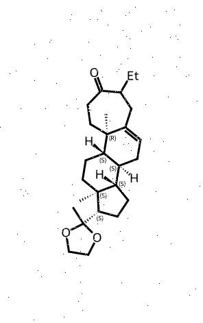 CCC1CC2=CC[C@H]3[C@@H]4CC[C@H](C5(C)OCCO5)[C@@]4(C)CC[C@@H]3[C@@]2(C)CCC1=O